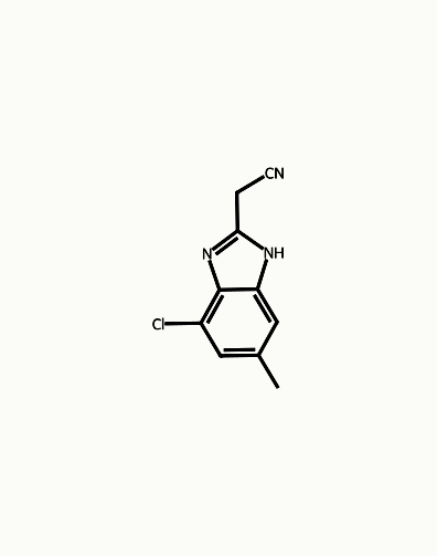 Cc1cc(Cl)c2nc(CC#N)[nH]c2c1